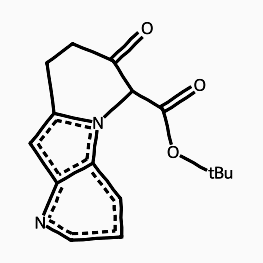 CC(C)(C)OC(=O)C1C(=O)CCc2cc3ncccc3n21